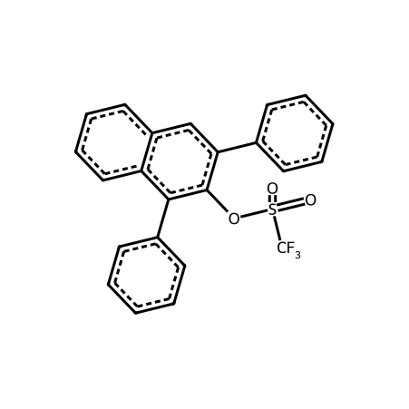 O=S(=O)(Oc1c(-c2ccccc2)cc2ccccc2c1-c1ccccc1)C(F)(F)F